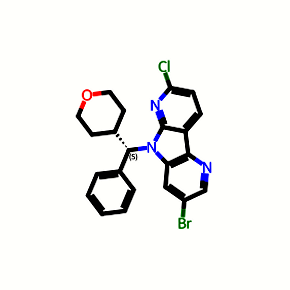 Clc1ccc2c3ncc(Br)cc3n([C@H](c3ccccc3)C3CCOCC3)c2n1